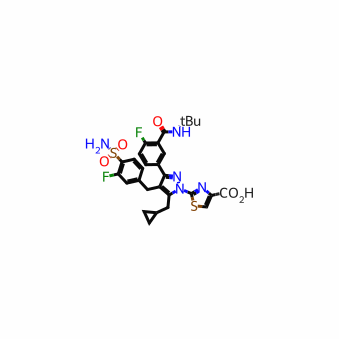 CC(C)(C)NC(=O)c1cc(-c2nn(-c3nc(C(=O)O)cs3)c(CC3CC3)c2Cc2ccc(S(N)(=O)=O)c(F)c2)ccc1F